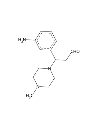 CN1CCN(C(CC=O)c2cccc(N)c2)CC1